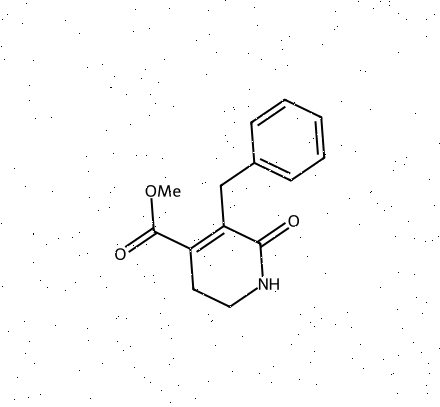 COC(=O)C1=C(Cc2ccccc2)C(=O)NCC1